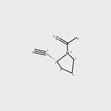 C#C[C@H]1CCCN1C(C)=O